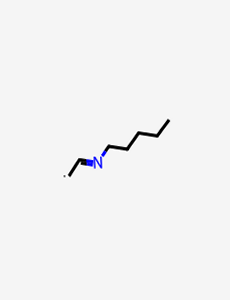 [CH2]C=NCCCCC